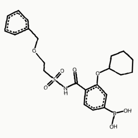 O=C(NS(=O)(=O)CCOCc1ccccc1)c1ccc(B(O)O)cc1OC1CCCCC1